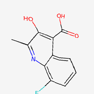 Cc1nc2c(F)cccc2c(C(=O)O)c1O